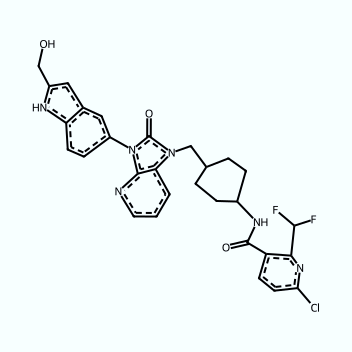 O=C(NC1CCC(Cn2c(=O)n(-c3ccc4[nH]c(CO)cc4c3)c3ncccc32)CC1)c1ccc(Cl)nc1C(F)F